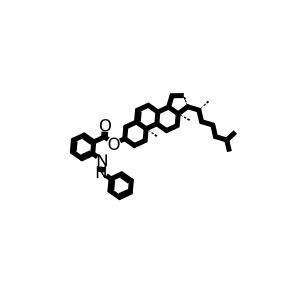 CC(C)CCC[C@@H](C)[C@H]1CCC2C3CC=C4CC(OC(=O)c5ccccc5N=Nc5ccccc5)CC[C@]4(C)C3CC[C@@]21C